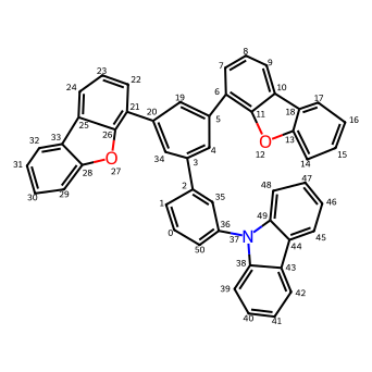 c1cc(-c2cc(-c3cccc4c3oc3ccccc34)cc(-c3cccc4c3oc3ccccc34)c2)cc(-n2c3ccccc3c3ccccc32)c1